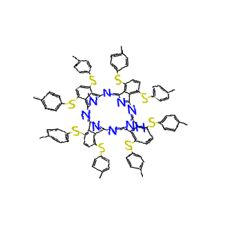 Cc1ccc(Sc2ccc(Sc3ccc(C)cc3)c3c2-c2nc-3nc3c4c(Sc5ccc(C)cc5)ccc(Sc5ccc(C)cc5)c4c(nc4nc(nc5[nH]c(n2)c2c(Sc6ccc(C)cc6)ccc(Sc6ccc(C)cc6)c52)-c2c(Sc5ccc(C)cc5)ccc(Sc5ccc(C)cc5)c2-4)n3C)cc1